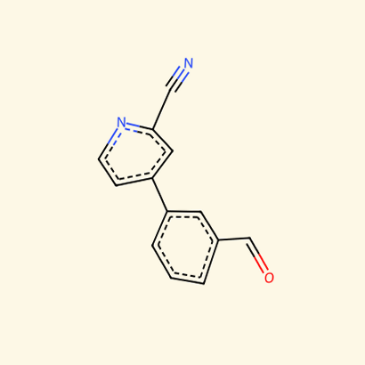 N#Cc1cc(-c2cccc(C=O)c2)ccn1